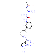 C/C(O)=C/C(=N)NC(=O)Nc1cccc(C2CCCN(c3ncnc4[nH]ccc34)C2)c1